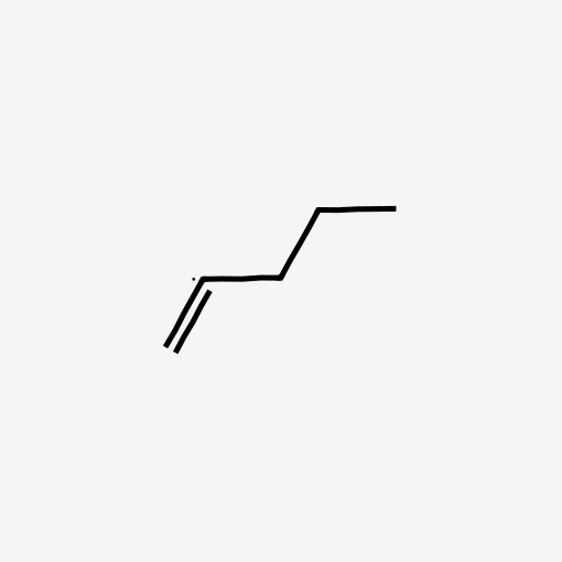 C=[C]CCC